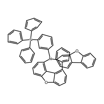 c1ccc(-c2cccc3oc4cccc(N(c5cccc([Si](c6ccccc6)(c6ccccc6)c6ccccc6)c5)c5ccc6c(c5)oc5ccccc56)c4c23)cc1